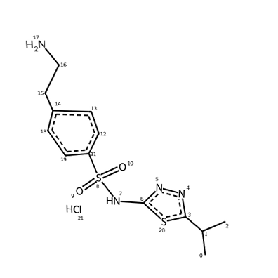 CC(C)c1nnc(NS(=O)(=O)c2ccc(CCN)cc2)s1.Cl